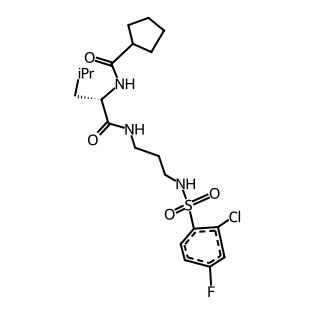 CC(C)C[C@H](NC(=O)C1CCCC1)C(=O)NCCCNS(=O)(=O)c1ccc(F)cc1Cl